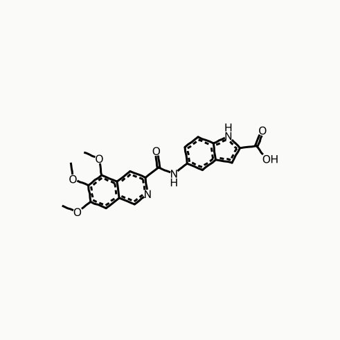 COc1cc2cnc(C(=O)Nc3ccc4[nH]c(C(=O)O)cc4c3)cc2c(OC)c1OC